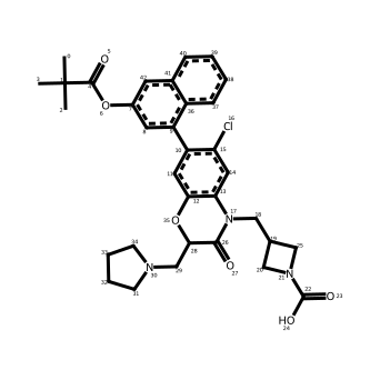 CC(C)(C)C(=O)Oc1cc(-c2cc3c(cc2Cl)N(CC2CN(C(=O)O)C2)C(=O)C(CN2CCCC2)O3)c2ccccc2c1